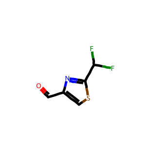 O=Cc1csc(C(F)F)n1